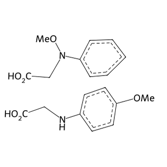 CON(CC(=O)O)c1ccccc1.COc1ccc(NCC(=O)O)cc1